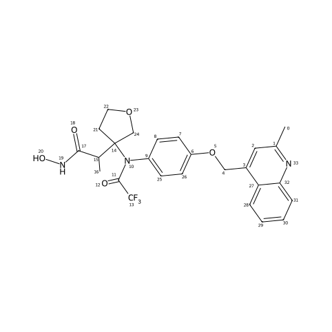 Cc1cc(COc2ccc(N(C(=O)C(F)(F)F)C3(C(C)C(=O)NO)CCOC3)cc2)c2ccccc2n1